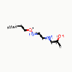 CCCCCCCCONCCNCC(C)O